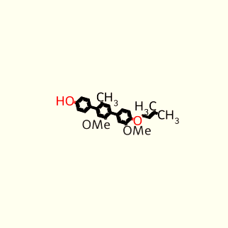 COc1cc(-c2cc(C)c(-c3ccc(O)cc3)cc2OC)ccc1OCC=C(C)C